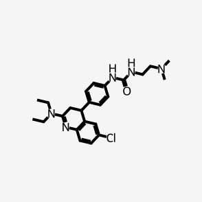 CCN(CC)C1=Nc2ccc(Cl)cc2C(c2ccc(NC(=O)NCCN(C)C)cc2)C1